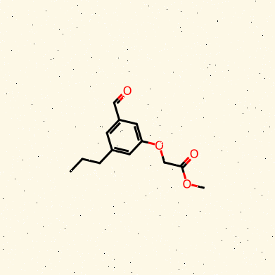 CCCc1cc(C=O)cc(OCC(=O)OC)c1